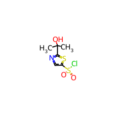 CC(C)(O)c1ncc(S(=O)(=O)Cl)s1